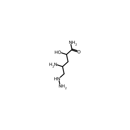 NNCC(N)CC(O)C(N)=O